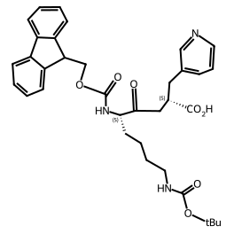 CC(C)(C)OC(=O)NCCCC[C@H](NC(=O)OCC1c2ccccc2-c2ccccc21)C(=O)C[C@H](Cc1cccnc1)C(=O)O